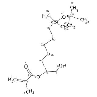 C=C(C)C(=O)OC(CO)COCCC[Si](C)(C)O[Si](C)(C)C